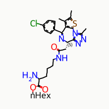 CCCCCCOC(=O)C(N)CCCCNC(=O)C[C@@H]1N=C(c2ccc(Cl)cc2)c2c(sc(C)c2C)-n2c(C)nnc21